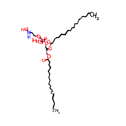 CCCCCCCCCCCCCCCCCC(=O)OC[C@H](COP(=O)(O)OCCNO)OC(=O)CCCCCCCCCCCCCCCCC